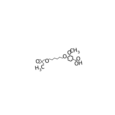 CCC1(COCCCCCCOc2ccc(C(=O)O)cc2OC)COC1